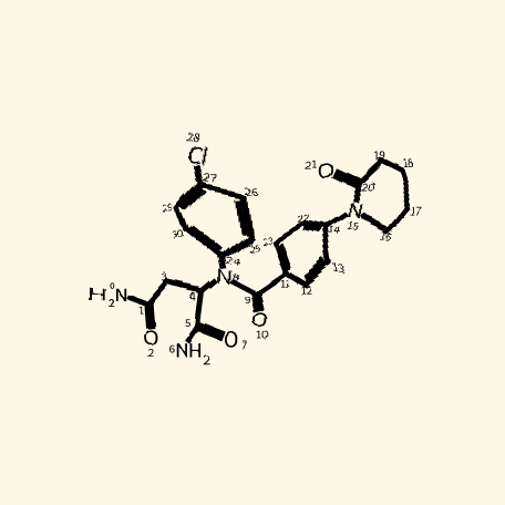 NC(=O)CC(C(N)=O)N(C(=O)c1ccc(N2CCCCC2=O)cc1)c1ccc(Cl)cc1